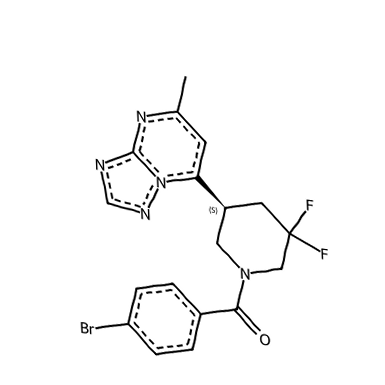 Cc1cc([C@@H]2CN(C(=O)c3ccc(Br)cc3)CC(F)(F)C2)n2ncnc2n1